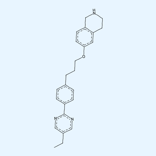 CCc1cnc(-c2ccc(CCCOc3ccc4c(c3)CCNC4)cc2)nc1